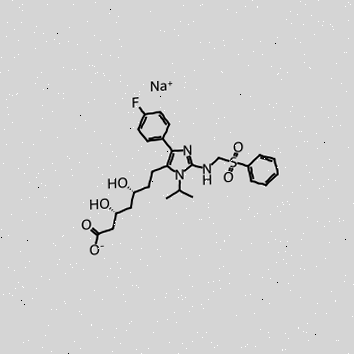 CC(C)n1c(NCS(=O)(=O)c2ccccc2)nc(-c2ccc(F)cc2)c1CC[C@@H](O)C[C@@H](O)CC(=O)[O-].[Na+]